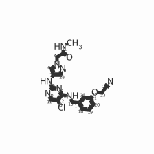 CNC(=O)Cn1cc(Nc2ncc(Cl)c(NCc3cccc(OCC#N)c3)n2)cn1